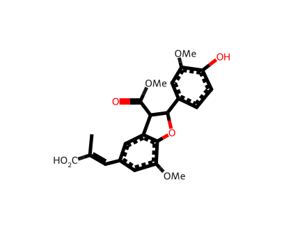 COC(=O)C1c2cc(C=C(C)C(=O)O)cc(OC)c2OC1c1ccc(O)c(OC)c1